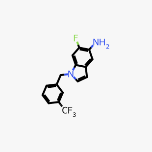 Nc1cc2ccn(Cc3cccc(C(F)(F)F)c3)c2cc1F